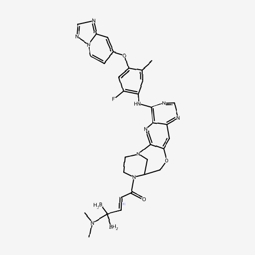 BC(B)(/C=C/C(=O)N1CCN2CC1COc1cc3ncnc(Nc4cc(C)c(Oc5ccn6ncnc6c5)cc4F)c3nc12)N(C)C